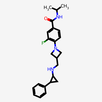 CC(C)NC(=O)c1ccc(N2CC(CNC3CC3c3ccccc3)C2)c(F)c1